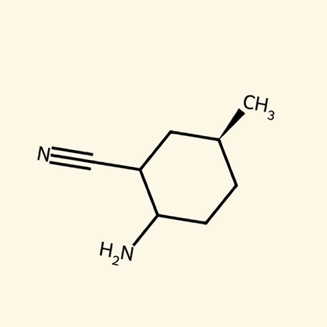 C[C@H]1CCC(N)C(C#N)C1